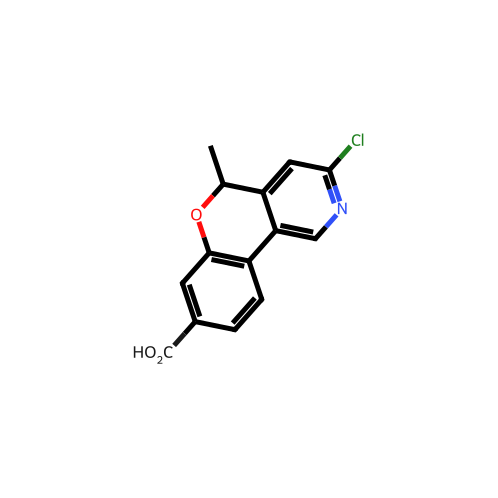 CC1Oc2cc(C(=O)O)ccc2-c2cnc(Cl)cc21